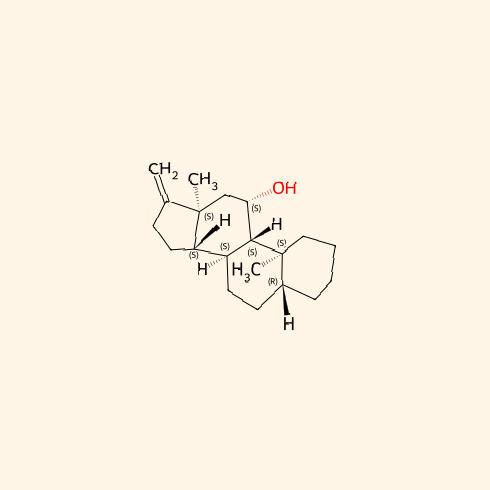 C=C1CC[C@H]2[C@@H]3CC[C@H]4CCCC[C@]4(C)[C@H]3[C@@H](O)C[C@]12C